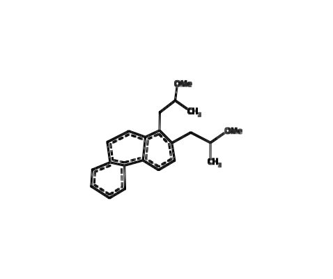 COC(C)Cc1ccc2c(ccc3ccccc32)c1CC(C)OC